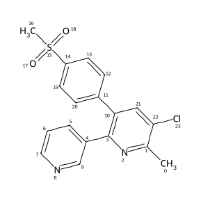 Cc1nc(-c2cccnc2)c(-c2ccc(S(C)(=O)=O)cc2)cc1Cl